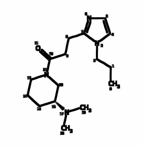 CCCn1ccnc1CCC(=O)N1CCC[C@@H](N(C)C)C1